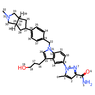 Cc1cc(C(N)=O)nn1-c1ccc2c(c1)c(CCCO)cn2Cc1ccc(C2C[C@@H]3CN(C)C[C@@H]3C2)cc1